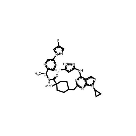 COC1(C(=O)N[C@@H](C)c2cnc(-n3cc(F)cn3)cn2)CCC(Cc2nc(Nc3cc(C)[nH]n3)c3cnn(C4CC4)c3n2)CC1